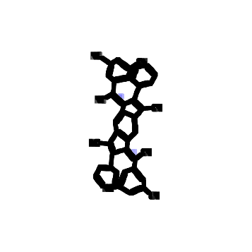 N#CC1=C(c2ccccc2)/C(=C(/C#N)c2cc(C#N)cc(C#N)c2)c2cc3c(cc21)/C(=C(\C#N)c1cc(C#N)cc(C#N)c1)C(c1ccccc1)=C3C#N